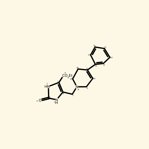 CCOC(=O)c1[nH]c(=O)[nH]c1CN1CC=C(c2ccccc2)CC1